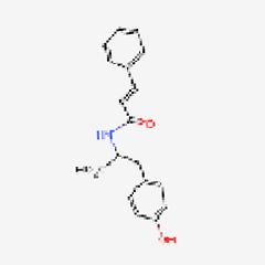 O=C(C=Cc1ccccc1)NC(Cc1ccc(O)cc1)C(=O)O